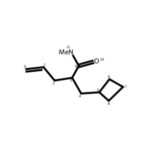 C=CCC(CC1CCC1)C(=O)NC